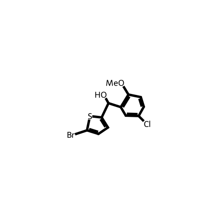 COc1ccc(Cl)cc1C(O)c1ccc(Br)s1